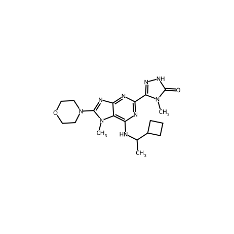 CC(Nc1nc(-c2n[nH]c(=O)n2C)nc2nc(N3CCOCC3)n(C)c12)C1CCC1